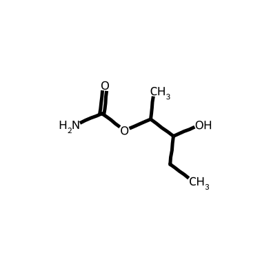 CCC(O)C(C)OC(N)=O